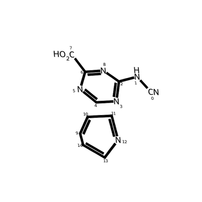 N#CNc1ncnc(C(=O)O)n1.c1ccncc1